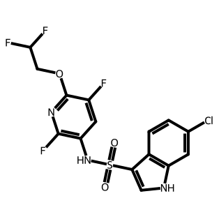 O=S(=O)(Nc1cc(F)c(OCC(F)F)nc1F)c1c[nH]c2cc(Cl)ccc12